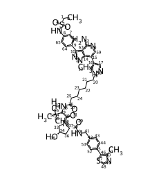 CCS(=O)(=O)Nc1ccc(-c2nn(C)c3c(-c4cnn(CCCCCCC(=O)NC(C(=O)N5C[C@H](O)C[C@H]5C(=O)NCc5ccc(-c6scnc6C)cc5)C(C)(C)C)c4)cnc(N)c23)cc1